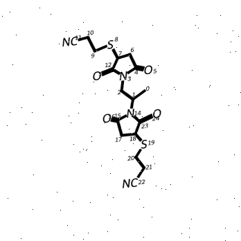 CC(CN1C(=O)CC(SCCC#N)C1=O)N1C(=O)CC(SCCC#N)C1=O